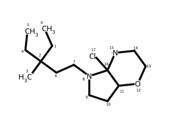 CCC(C)(CC)CCN1CCC2OCC[N]C21Cl